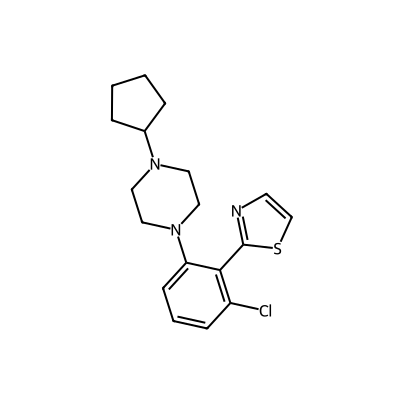 Clc1cccc(N2CCN(C3CCCC3)CC2)c1-c1nccs1